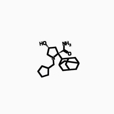 NC(=O)[C@@]1(C2C3CC4CC(C3)CC2C4)C[C@@H](O)CN1CC1CCCC1